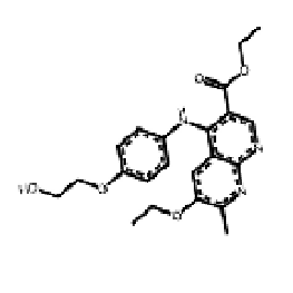 CCOC(=O)c1cnc2nc(C)c(OCC)cc2c1Nc1ccc(OCCO)cc1